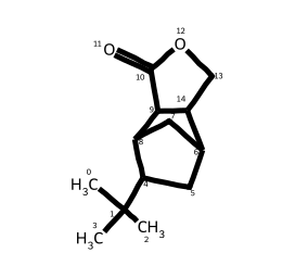 CC(C)(C)C1CC2CC1C1C(=O)OCC21